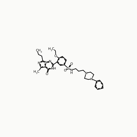 CCCc1nc(C)c2c(=O)[nH]c(-c3cc(S(=O)(=O)NCCCN4CCN(c5ccccc5)CC4)ccc3OCC)nn12